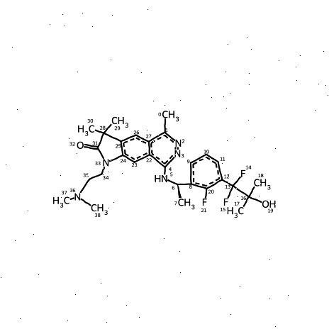 Cc1nnc(N[C@H](C)c2cccc(C(F)(F)C(C)(C)O)c2F)c2cc3c(cc12)C(C)(C)C(=O)N3CCN(C)C